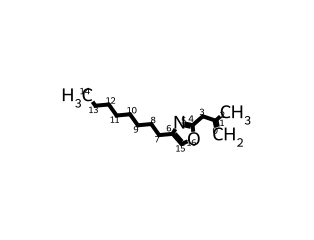 C=C(C)Cc1nc(CCCCCCCC)co1